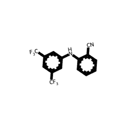 N#Cc1ccccc1Nc1cc(C(F)(F)F)cc(C(F)(F)F)c1